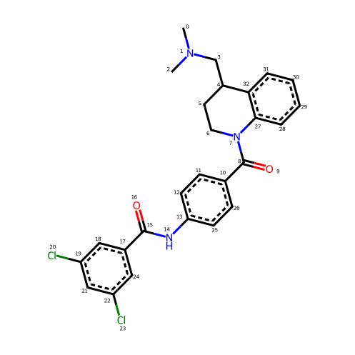 CN(C)CC1CCN(C(=O)c2ccc(NC(=O)c3cc(Cl)cc(Cl)c3)cc2)c2ccccc21